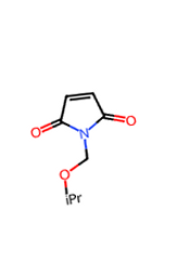 CC(C)OCN1C(=O)C=CC1=O